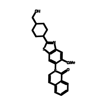 COc1cc2nc(C3CCC(CO)CC3)sc2cc1-n1ccc2ccccc2c1=O